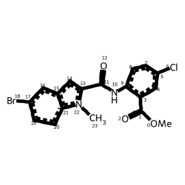 COC(=O)c1cc(Cl)ccc1NC(=O)c1cc2cc(Br)ccc2n1C